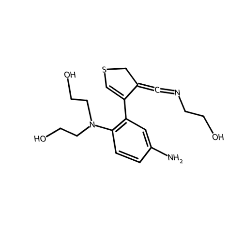 Nc1ccc(N(CCO)CCO)c(C2=CSCC2=C=NCCO)c1